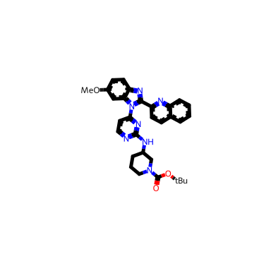 COc1ccc2nc(-c3ccc4ccccc4n3)n(-c3ccnc(NC4CCCN(C(=O)OC(C)(C)C)C4)n3)c2c1